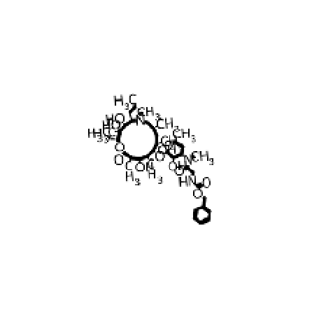 CCC[C@@H]1[C@@H](O)[C@](C)(O)[C@@H](CC)OC(=O)[C@H](C)[C@@H](O)[C@H](C)[C@@H](O[C@@H]2O[C@H](C)C[C@H](N(C)C(=O)CNC(=O)OCc3ccccc3)[C@H]2O)[C@](C)(O)C[C@@H](C)CN1C